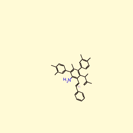 C=C(C)C(C)c1c(/C=C/c2ccccc2)c(N)c(-c2ccc(C)c(C)c2)c(C)c1-c1ccc(C)c(C)c1